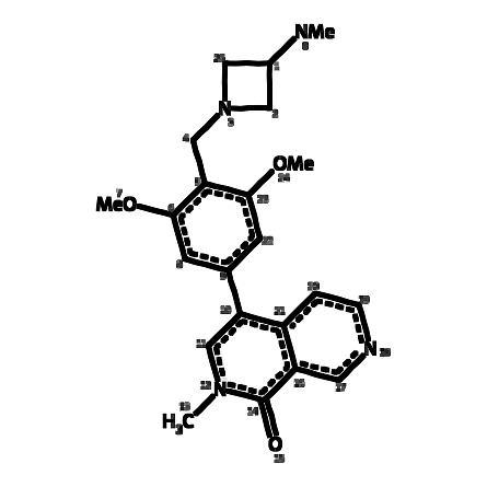 CNC1CN(Cc2c(OC)cc(-c3cn(C)c(=O)c4cnccc34)cc2OC)C1